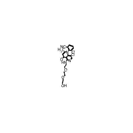 Cc1cc(=O)c2c(NCCOCCOCCO)ncc(Cl)c2n1-c1c(Cl)cccc1C#N